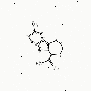 C=C(N)C1CCCCc2c1[nH]c1ccc(C)cc21